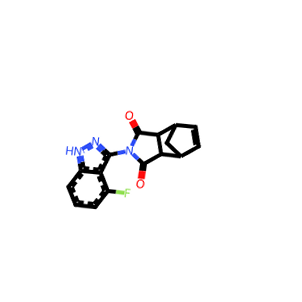 O=C1C2C3C=CC(C3)C2C(=O)N1c1n[nH]c2cccc(F)c12